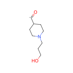 O=[C]C1CCN(CCCO)CC1